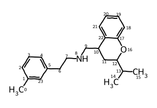 Cc1cccc(CCNCC2CC(C(C)C)Oc3ccccc32)c1